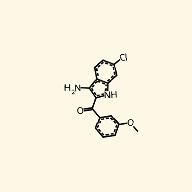 COc1cccc(C(=O)c2[nH]c3cc(Cl)ccc3c2N)c1